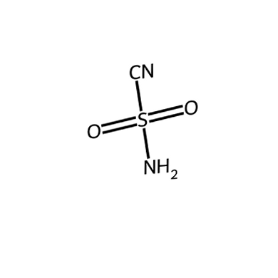 N#CS(N)(=O)=O